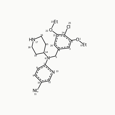 CCOc1cc(CN(c2ccc(C#N)cn2)C2CCNCC2)cc(OCC)c1Cl